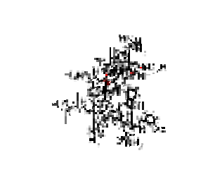 CSCCC(NC(=O)[C@H](C)NC(=O)C(CCCNC(=N)N)NC(=O)[C@H](CCC(N)=O)NC(=O)C(Cc1c[nH]c2ccccc12)NC(=O)[C@H](CCC(N)=O)NC(=O)C(Cc1ccccc1)NC(C)=O)C(=O)N[C@@H](CCCNC(=N)N)C(=O)NC(CCCCN)C(=O)N[C@H](C(=O)NC(CCCNC(=N)N)C(=O)N[C@@H](CCC(=O)O)C(N)=O)C(C)C